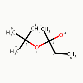 CCC(C)([O])OC(C)(C)C